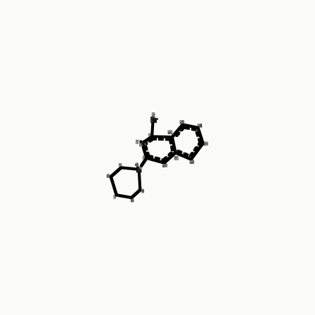 Brc1nc(N2CCCCC2)cc2ccccc12